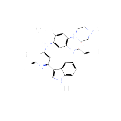 C=C/N=C(\C=C(/C)Nc1cc(NC(=O)C=C)c(N2CCN(C(C)=O)CC2)cc1OC)c1cn(C)c2ccccc12